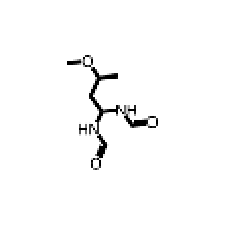 COC(C)CC(NC=O)NC=O